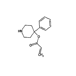 C=CC(=O)OC1(c2ccccc2)CCNCC1